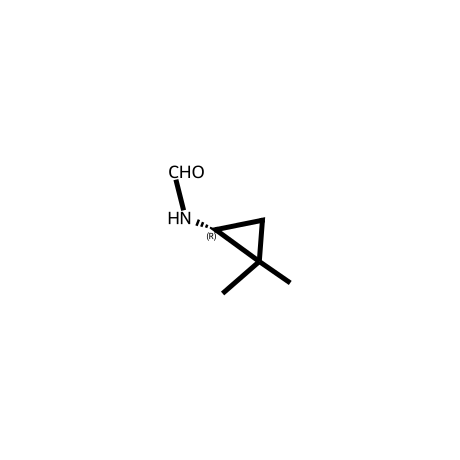 CC1(C)C[C@H]1NC=O